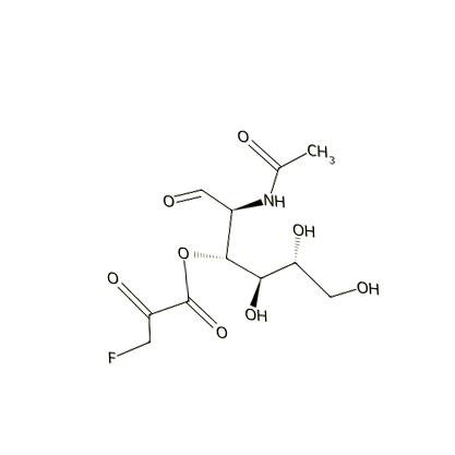 CC(=O)N[C@H](C=O)[C@@H](OC(=O)C(=O)CF)[C@H](O)[C@H](O)CO